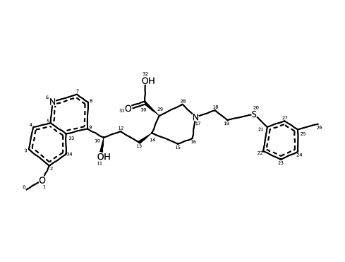 COc1ccc2nccc([C@H](O)CC[C@@H]3CCN(CCSc4cccc(C)c4)C[C@@H]3C(=O)O)c2c1